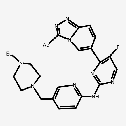 CCN1CCN(Cc2ccc(Nc3ncc(F)c(-c4ccc5nnc(C(C)=O)n5c4)n3)nc2)CC1